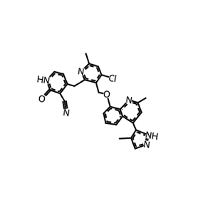 Cc1cc(Cl)c(COc2cccc3c(-c4[nH]ncc4C)cc(C)nc23)c(Cc2cc[nH]c(=O)c2C#N)n1